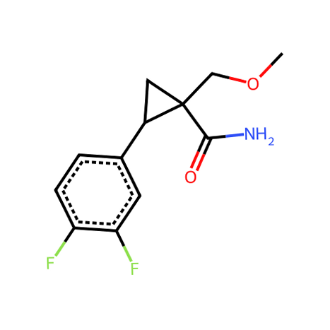 COCC1(C(N)=O)CC1c1ccc(F)c(F)c1